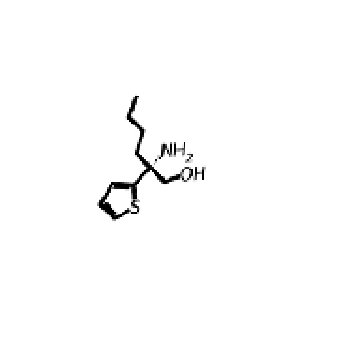 CCCC[C@@](N)(CO)c1cccs1